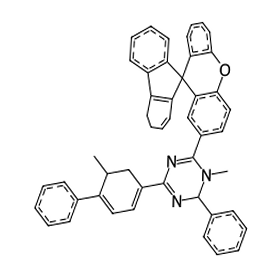 CC1CC(C2=NC(c3ccccc3)N(C)C(c3ccc4c(c3)C3(C5=C(CCC=C5)c5ccccc53)c3ccccc3O4)=N2)=CC=C1c1ccccc1